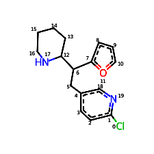 Clc1ccc(CC(c2ccco2)C2CCCCN2)cn1